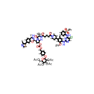 CC(=O)OC[C@H]1O[C@@H](Oc2ccc(COC(=O)O[C@@H]3C[C@@H](C(=O)N[C@@H](C)c4ccc(-c5scnc5C)cc4)N(C(=O)[C@@H](NC(=O)CCCC(=O)N4CCC(c5cc(OC(C)C)c(Nc6ncc(Cl)c(Nc7ccccc7S(=O)(=O)C(C)C)n6)cc5C)CC4)C(C)(C)C)C3)cc2)[C@H](OC(C)=O)[C@@H](OC(C)=O)[C@H]1OC(C)=O